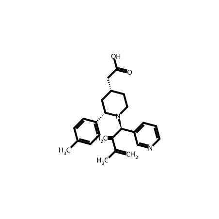 C=C(C)C(=C)[C@H](c1cccnc1)N1CC[C@@H](CC(=O)O)C[C@H]1c1ccc(C)cc1